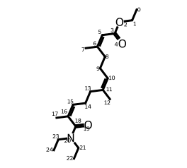 CCOC(=O)C=C(C)CCC=C(C)CCC=C(C)C(=O)N(CC)CC